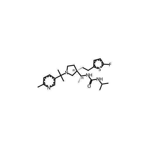 Cc1ccc(C(C)(C)N2CC[C@@](CCc3ccc(F)s3)([C@@H](C)NC(=O)NC(C)C)C2)cn1